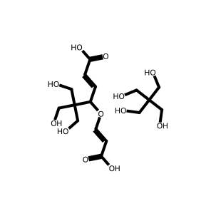 O=C(O)C=COC(C=CC(=O)O)C(CO)(CO)CO.OCC(CO)(CO)CO